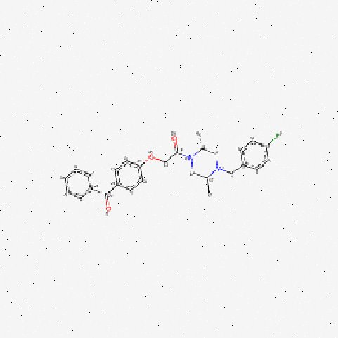 C[C@@H]1CN(Cc2ccc(F)cc2)[C@@H](C)CN1C(=O)COc1ccc(C(=O)c2ccccc2)cc1